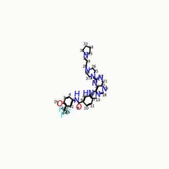 COc1ccc(NC(=O)c2ccc(C)c(Nc3ncnc4cnc(N5CCN(CCCN6CCCC6)CC5)nc34)c2)cc1C(F)(F)F